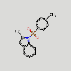 Cc1ccc(S(=O)(=O)n2c(C(F)(F)F)cc3ccccc32)cc1